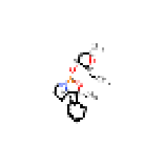 CC[C@H]1O[C@@H](C)C[C@H]1O[P@@]1O[C@](C)(c2ccccc2)[C@@H]2CCCN21